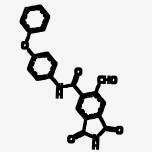 O=Cc1cc2c(cc1C(=O)Nc1ccc(Oc3ccccc3)cc1)C(=O)NC2=O